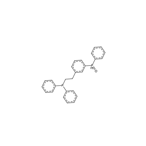 O=[PH](c1ccccc1)c1cccc(CCP(c2ccccc2)c2ccccc2)c1